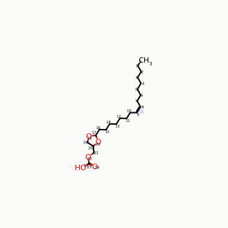 CCCCCCCC/C=C\CCCCCCCC1OCC(COC(=O)O)O1